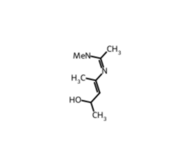 CN/C(C)=N\C(C)=C\C(C)O